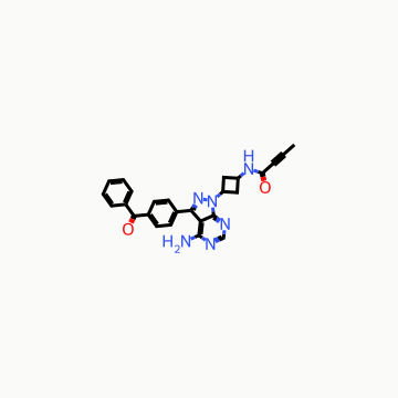 CC#CC(=O)NC1CC(n2nc(-c3ccc(C(=O)c4ccccc4)cc3)c3c(N)ncnc32)C1